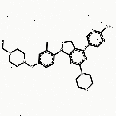 CCN1CCN(Sc2ccc(N3CCc4c(-c5cnc(N)nc5)nc(N5CCOCC5)nc43)c(C)c2)CC1